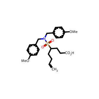 C=CCCC(CCC(=O)O)S(=O)(=O)N(Cc1ccc(OC)cc1)Cc1ccc(OC)cc1